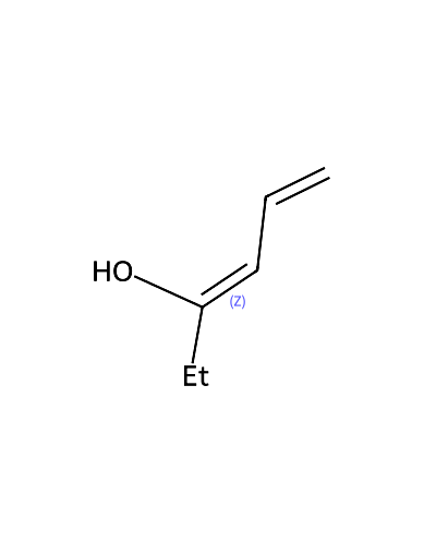 C=C/C=C(\O)CC